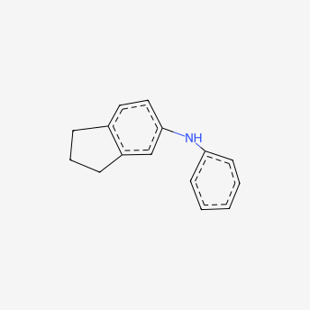 c1ccc(Nc2ccc3c(c2)CCC3)cc1